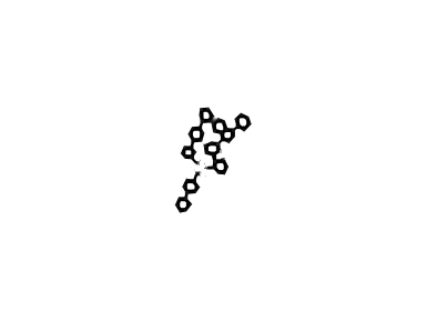 c1ccc(-c2ccc(-c3cccc(-c4nc(-c5ccc(-c6ccccc6)cc5)nc(-c5cccc6oc7c(-c8ccc(-c9ccccc9)c9ccccc89)cccc7c56)n4)c3)cc2)cc1